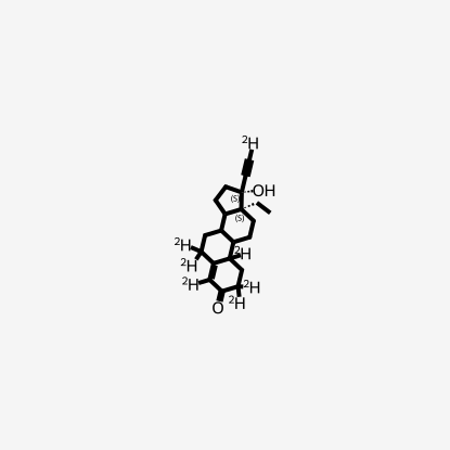 [2H]C#C[C@]1(O)CCC2C3CC([2H])([2H])C4=C([2H])C(=O)C([2H])([2H])CC4([2H])C3CC[C@@]21CC